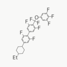 CCC1CCC(c2cc(F)c(-c3cc(F)c(C(F)(F)Oc4cc(F)c(F)c(F)c4)c(F)c3)c(F)c2)CC1